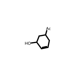 CC(=O)C1CC=CC(O)C1